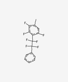 Cc1cc(F)c(C(F)(F)C(F)(F)c2ccccc2)c(F)c1F